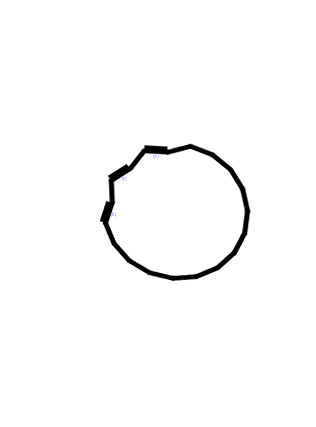 [C]1=C/C=C/C=C/CCCCCCCCCCCCC/1